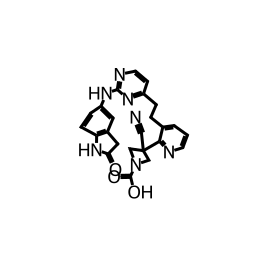 N#CC1(c2ncccc2CCc2ccnc(Nc3ccc4c(c3)CC(=O)N4)n2)CN(C(=O)O)C1